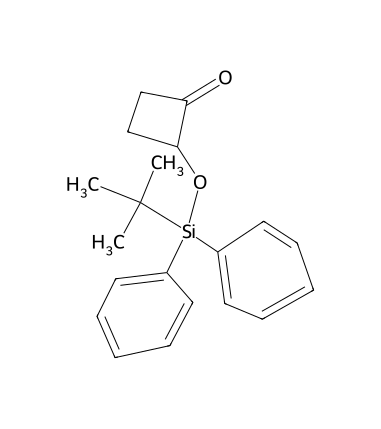 CC(C)(C)[Si](OC1CCC1=O)(c1ccccc1)c1ccccc1